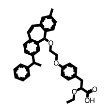 CCOC(Cc1ccc(OCCOC2c3ccc(C)cc3C=Cc3ccc(C(C)c4ccccc4)cc32)cc1)C(=O)O